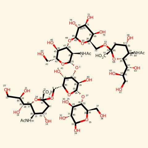 CC(=O)N[C@H]1[C@H](O[C@H]2[C@@H](O)[C@@H](CO[C@]3(C(=O)O)C[C@H](O)[C@@H](NC(C)=O)[C@H]([C@H](O)[C@H](O)CO)O3)O[C@@H](O[C@H]3[C@H](O)[C@@H](O)C(O)O[C@@H]3CO)[C@@H]2O)O[C@H](CO)[C@@H](O)[C@@H]1O[C@@H]1O[C@H](CO[C@]2(C(=O)O)C[C@H](O)[C@@H](NC(C)=O)[C@H]([C@H](O)[C@H](O)CO)O2)[C@H](O)[C@H](O)[C@H]1O